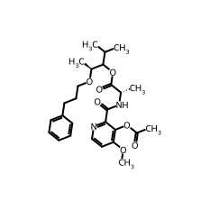 COc1ccnc(C(=O)N[C@@H](C)C(=O)OC(C(C)C)[C@H](C)OCCCc2ccccc2)c1OC(C)=O